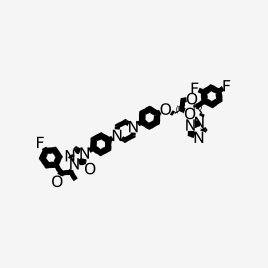 CC(C(=O)c1ccc(F)cc1)n1ncn(-c2ccc(N3CCN(c4ccc(OC[C@@H]5CO[C@@](Cn6cncn6)(c6ccc(F)cc6F)O5)cc4)CC3)cc2)c1=O